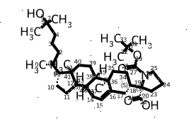 C[C@H](CCCC(C)(C)O)[C@H]1CC[C@H]2[C@@H]3CC=C4C[C@@H]([C@]5(C(=O)O)CCCN5C(=O)OC(C)(C)C)CC[C@]4(C)[C@H]3CC[C@]12C